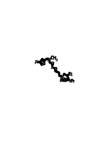 CCCCN(CCCOSOCN(C)Cc1cc(F)cs1)CC(CC)C(O)CCC